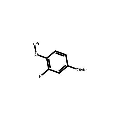 CCCOc1ccc(OC)cc1F